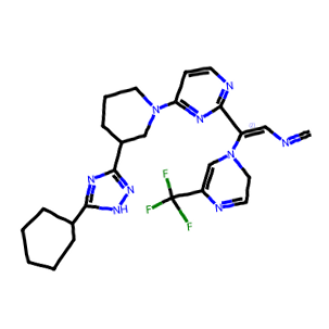 C=N/C=C(/c1nccc(N2CCCC(c3n[nH]c(C4CCCCC4)n3)C2)n1)N1C=C(C(F)(F)F)N=CC1